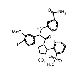 COc1cc([C@@H](Nc2cccc(C(N)=O)c2)C(=O)N2CC[C@@H](C(=O)O)[C@@H]2c2ncccc2S(C)(=O)=O)ccc1F